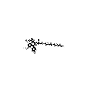 Cc1ccc2c(c1)C(c1ccc(Cl)cc1)=N[C@@H](CC(=O)NCCOCCOCCOCCOCCN)c1nnc(C)n1-2